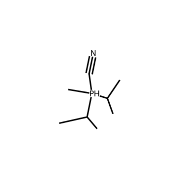 CC(C)[PH](C)(C#N)C(C)C